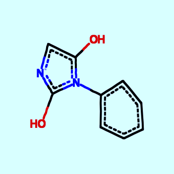 Oc1cnc(O)n1-c1ccccc1